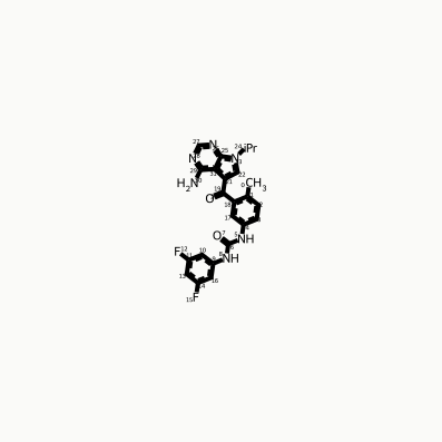 Cc1ccc(NC(=O)Nc2cc(F)cc(F)c2)cc1C(=O)c1cn(C(C)C)c2ncnc(N)c12